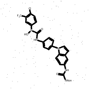 CCCCCCCCCC(=O)Nc1ccc2c(ccn2-c2ccc(NC(=O)N(O)c3ccc(Cl)c(C(F)(F)F)c3)cc2)c1